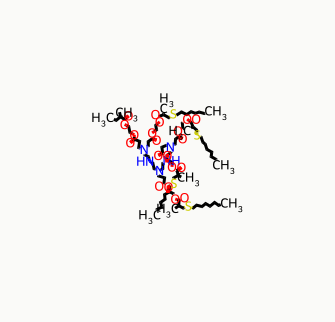 CCCCCCCCSCC(C)C(=O)OCCOC(=O)CCN(CCNCCN(CCC(=O)OCCOC(=O)C(C)CC)CCC(=O)OCCOC(=O)C(C)CSCCCCCCCC)CCNCCN(CCC(=O)OCCOC(=O)C(C)CSCCCCCCCC)CCC(=O)OCCOC(=O)C(C)CSCCCCCCCC